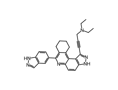 CCN(CC)CC#Cc1n[nH]c2ccc3nc(-c4ccc5[nH]ncc5c4)c4c(c3c12)CCCC4